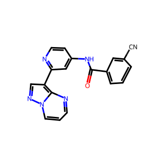 N#Cc1cccc(C(=O)Nc2ccnc(-c3cnn4cccnc34)c2)c1